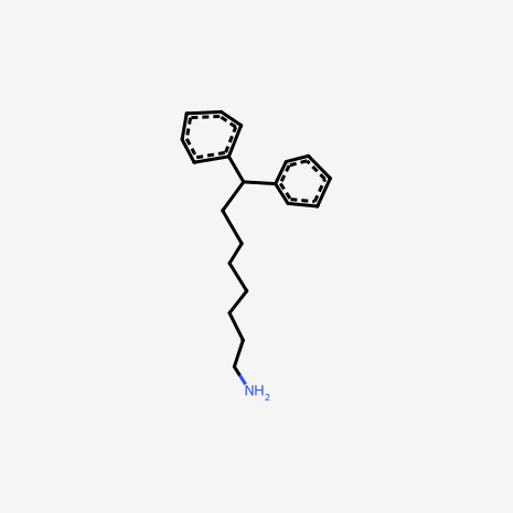 NCCCCCCCC(c1ccccc1)c1ccccc1